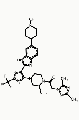 Cc1nc(C)n(CC(=O)N2CCN(c3sc(C(F)(F)F)nc3-c3nc4ccc(C5CCN(C)CC5)cc4[nH]3)CC2C)n1